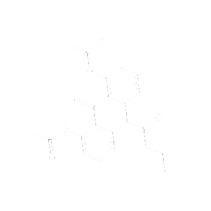 CC(=O)Oc1cccc2c1C(=O)c1c(OC(C)=O)cccc1C2C(=O)CC(C)C